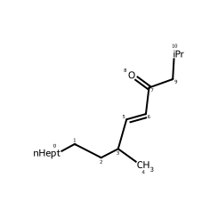 CCCCCCCCCC(C)C=CC(=O)CC(C)C